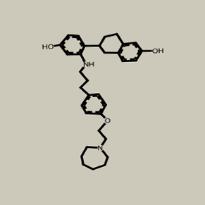 Oc1ccc2c(c1)CCC(c1ccc(O)cc1NCCCc1ccc(OCCN3CCCCCC3)cc1)C2